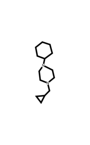 C1CCC(N2CCN(CC3CC3)CC2)CC1